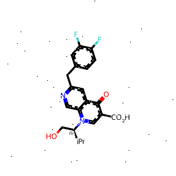 CC(C)[C@@H](CO)n1cc(C(=O)O)c(=O)c2cc(Cc3ccc(F)c(F)c3)ncc21